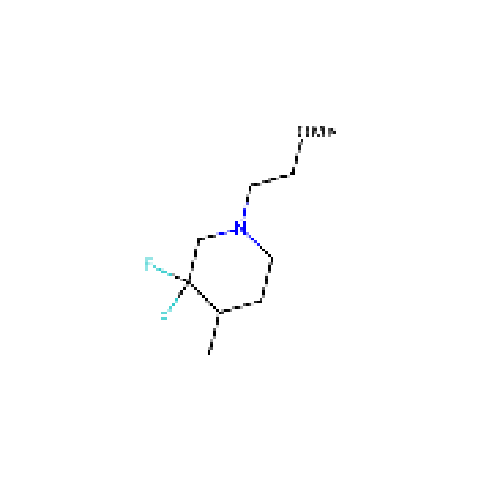 COCCN1CCC(C)C(F)(F)C1